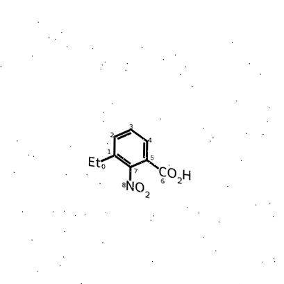 CCc1cccc(C(=O)O)c1[N+](=O)[O-]